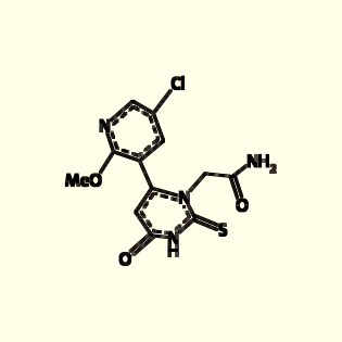 COc1ncc(Cl)cc1-c1cc(=O)[nH]c(=S)n1CC(N)=O